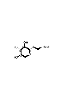 CCCCCCCCS[C@@H]1OC[C@@H](O)[C@H](O)[C@H]1O